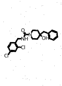 O=C(NCc1ccc(Cl)cc1Cl)N1CCC(O)(Cc2ccccc2)CC1